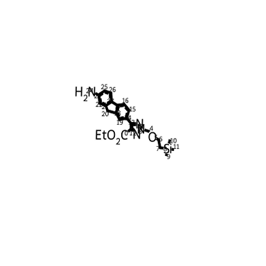 CCOC(=O)c1nn(COCC[Si](C)(C)C)nc1-c1ccc2c(c1)Cc1cc(N)ccc1-2